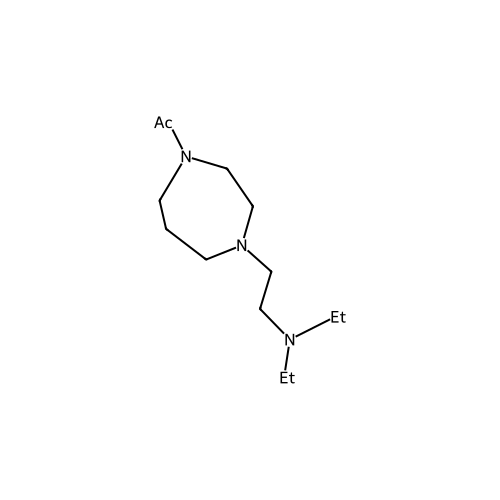 [CH2]C(=O)N1CCCN(CCN(CC)CC)CC1